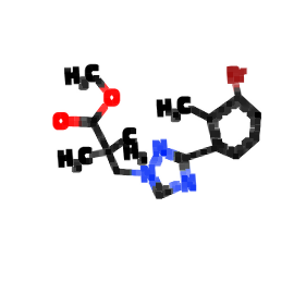 COC(=O)C(C)(C)Cn1cnc(-c2cccc(Br)c2C)n1